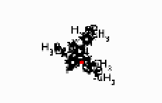 C=CC(=O)N1CCn2nc(-c3nc(-c4ccc(P(C)(C)=O)cc4)c4ccsc4c3-c3c(F)cc(F)cc3OCCOC)cc2C1C